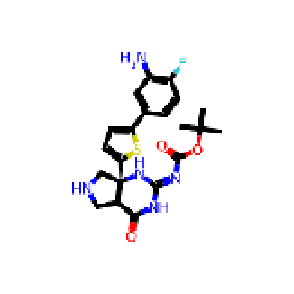 CC(C)(C)OC(=O)/N=C1/NC(=O)C2CNC[C@]2(c2ccc(-c3ccc(F)c(N)c3)s2)N1